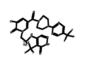 C[C@@H](Cn1cc(C(=O)N2CCN(c3ncc(C(F)(F)F)cn3)CC2)cc(Cl)c1=O)Nc1cn[nH]c(=O)c1C(F)(F)F